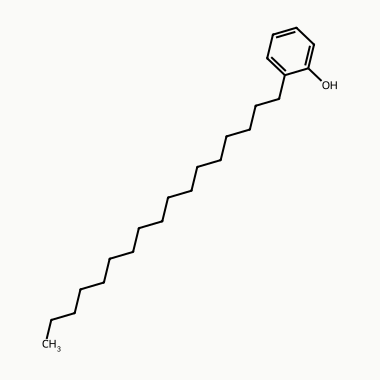 CCCCCCCCCCCCCCCCCc1ccccc1O